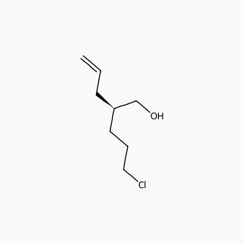 C=CC[C@@H](CO)CCCCl